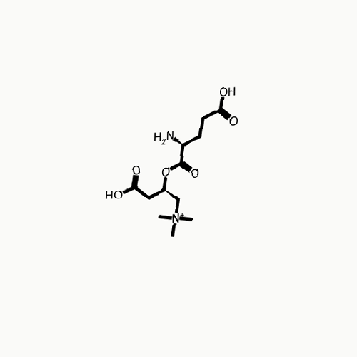 C[N+](C)(C)C[C@@H](CC(=O)O)OC(=O)[C@@H](N)CCC(=O)O